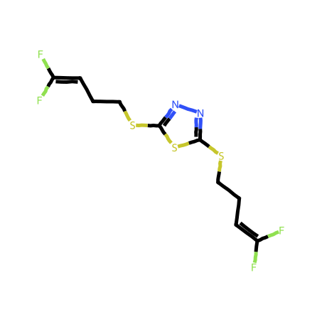 FC(F)=CCCSc1nnc(SCCC=C(F)F)s1